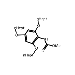 [CH2]OC(=O)Nc1c(OCCCCCCC)cc(OCCCCCCC)cc1OCCCCCCC